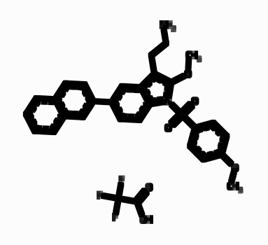 COc1ccc(S(=O)(=O)n2c(OC)c(CCN)c3cc(-c4ccc5ccccc5c4)ccc32)cc1.O=C(O)C(F)(F)F